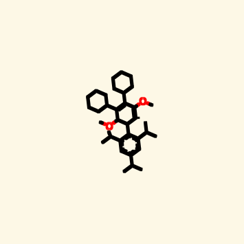 COC1=[C]C(c2c(C(C)C)cc(C(C)C)cc2C(C)C)C(OC)C(C2CCCCC2)=C1C1CCCCC1